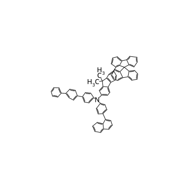 CC1(C)c2cc(-c3cccc4c3C3(c5ccccc5-c5ccccc53)c3ccccc3-4)ccc2-c2ccc(N(c3ccc(-c4ccc(-c5ccccc5)cc4)cc3)c3ccc(-c4cccc5ccccc45)cc3)cc21